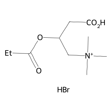 Br.CCC(=O)OC(CC(=O)O)C[N+](C)(C)C